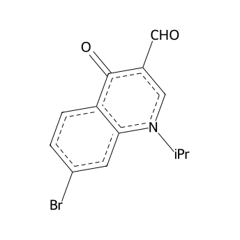 CC(C)n1cc(C=O)c(=O)c2ccc(Br)cc21